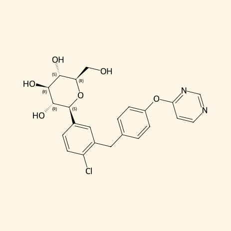 OC[C@H]1O[C@@H](c2ccc(Cl)c(Cc3ccc(Oc4ccncn4)cc3)c2)[C@H](O)[C@@H](O)[C@@H]1O